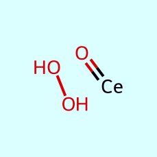 OO.[O]=[Ce]